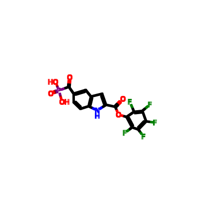 O=C(Oc1c(F)c(F)c(F)c(F)c1F)c1cc2cc(C(=O)P(=O)(O)O)ccc2[nH]1